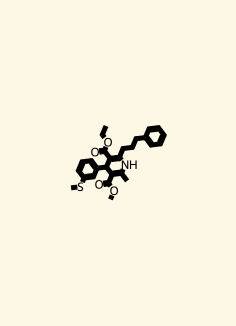 CCOC(=O)C1=C(CCCc2ccccc2)NC(C)=C(C(=O)OC)C1c1cccc(SC)c1